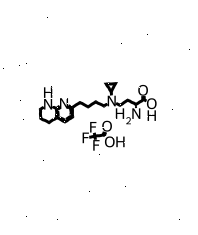 N[C@@H](CCN(CCCCc1ccc2c(n1)NCCC2)C1CC1)C(=O)O.O=C(O)C(F)(F)F